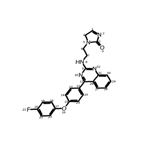 O=C1N=CCN1CCNc1nc(-c2ccc(Oc3ccc(F)cc3)cc2)c2ccccc2n1